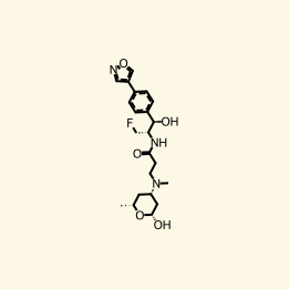 C[C@@H]1C[C@H](N(C)CCC(=O)N[C@H](CF)[C@H](O)c2ccc(-c3cnoc3)cc2)C[C@H](O)O1